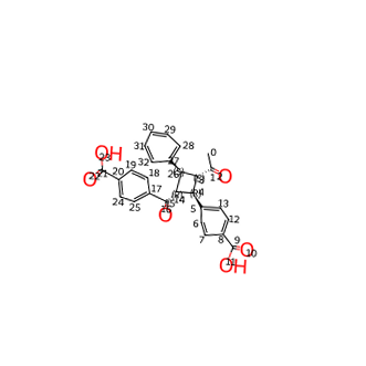 CC(=O)[C@@H]1[C@@H](c2ccc(C(=O)O)cc2)[C@H](C(=O)c2ccc(C(=O)O)cc2)[C@H]1c1ccccc1